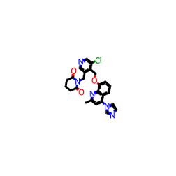 Cc1cc(-n2ccnc2)c2cccc(OCc3c(Cl)cncc3CN3C(=O)CCCC3=O)c2n1